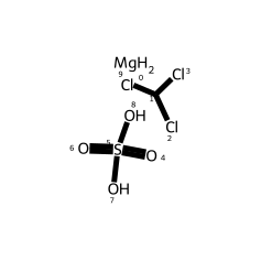 ClC(Cl)Cl.O=S(=O)(O)O.[MgH2]